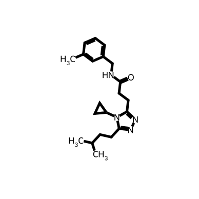 Cc1cccc(CNC(=O)CCc2nnc(CCC(C)C)n2C2CC2)c1